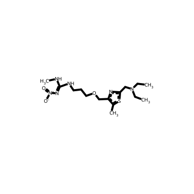 CCN(CC)Cc1nc(COCCCNC(=N[N+](=O)[O-])NC)c(C)s1